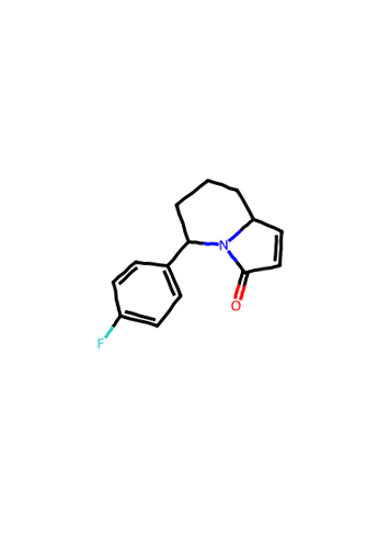 O=C1C=CC2CCCC(c3ccc(F)cc3)N12